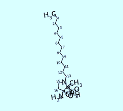 CCCCCCCCCCCCCCN1CCC(C)(N)[C@@]1(C)C(=O)O